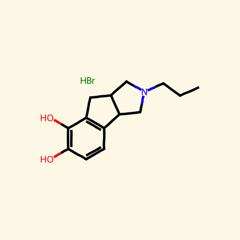 Br.CCCN1CC2Cc3c(ccc(O)c3O)C2C1